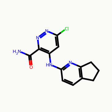 NC(=O)c1nnc(Cl)cc1Nc1ccc2c(n1)CCC2